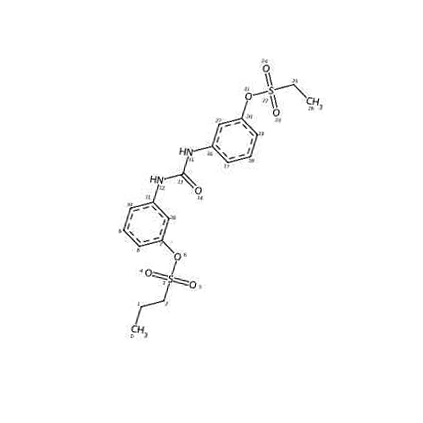 CCCS(=O)(=O)Oc1cccc(NC(=O)Nc2cccc(OS(=O)(=O)CC)c2)c1